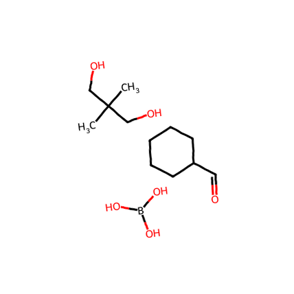 CC(C)(CO)CO.O=CC1CCCCC1.OB(O)O